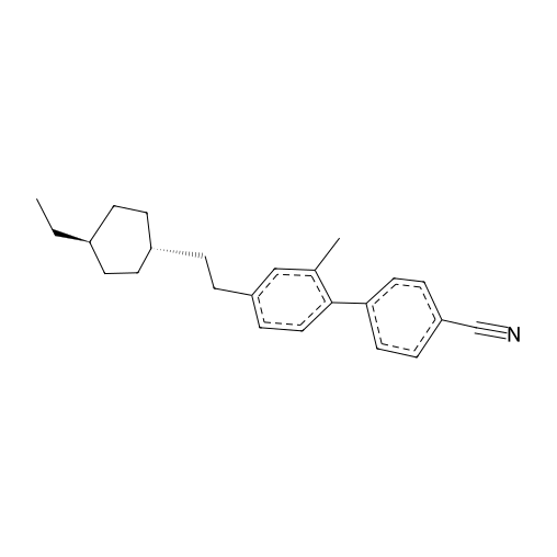 CC[C@H]1CC[C@H](CCc2ccc(-c3ccc(C#N)cc3)c(C)c2)CC1